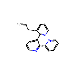 C=CCc1cccnc1-c1cccnc1-c1ccccn1